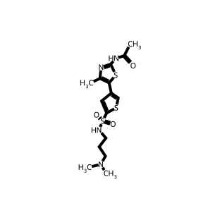 CC(=O)Nc1nc(C)c(-c2csc(S(=O)(=O)NCCCN(C)C)c2)s1